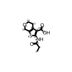 CCC(=O)Nc1sc2c(c1C(=O)O)CCOC2